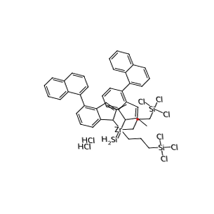 CC1=Cc2c(-c3cccc4ccccc34)cccc2[CH]1[Zr](=[SiH2])([CH2]CC[Si](Cl)(Cl)Cl)([CH2]CC[Si](Cl)(Cl)Cl)[CH]1C(C)=Cc2c(-c3cccc4ccccc34)cccc21.Cl.Cl